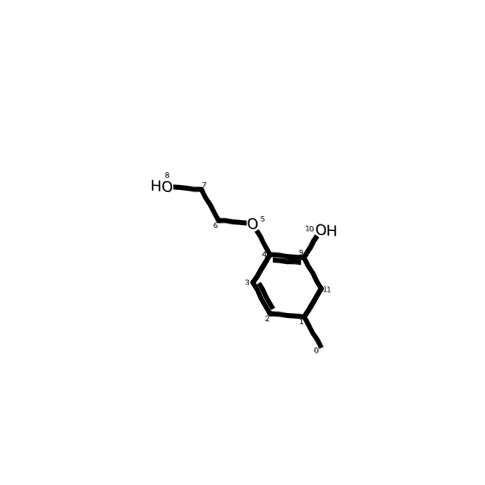 CC1C=CC(OCCO)=C(O)C1